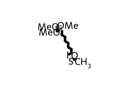 CO[Si](CCCCCCCC(I)OC(C)=S)(OC)OC